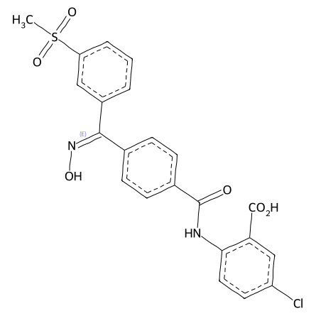 CS(=O)(=O)c1cccc(/C(=N/O)c2ccc(C(=O)Nc3ccc(Cl)cc3C(=O)O)cc2)c1